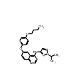 CCCCOc1ccc(Oc2ccc3ncnc(Nc4cnn(C(C)C)n4)c3c2)nc1